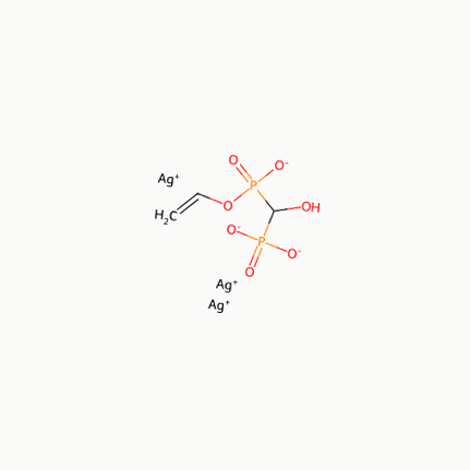 C=COP(=O)([O-])C(O)P(=O)([O-])[O-].[Ag+].[Ag+].[Ag+]